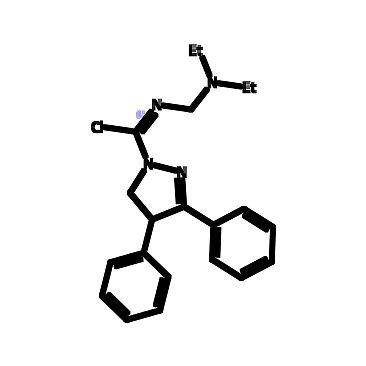 CCN(CC)C/N=C(/Cl)N1CC(c2ccccc2)C(c2ccccc2)=N1